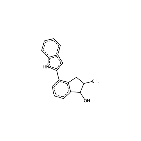 CC1Cc2c(-c3cc4ccccc4[nH]3)cccc2C1O